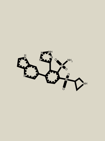 NS(=O)(=O)c1c(S(=O)(=O)C2CNC2)ccc(-c2cnc3cc[nH]c3c2)c1-c1nn[nH]n1